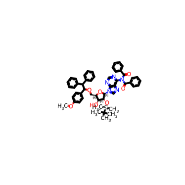 COc1ccc(C(OC[C@H]2O[C@@H](n3cnc4c(N(C(=O)c5ccccc5)C(=O)c5ccccc5)ncnc43)[C@H](O[Si](C)(C)C(C)(C)C)[C@@H]2O)C(c2ccccc2)c2ccccc2)cc1